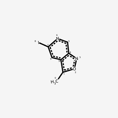 Cc1onc2cnc(I)cc12